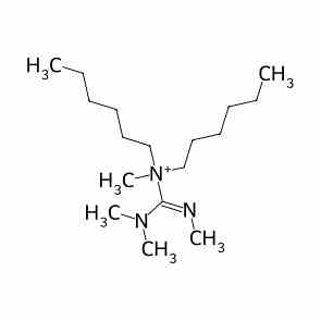 CCCCCC[N+](C)(CCCCCC)C(=NC)N(C)C